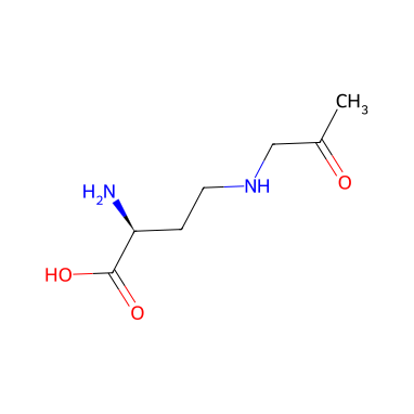 CC(=O)CNCC[C@H](N)C(=O)O